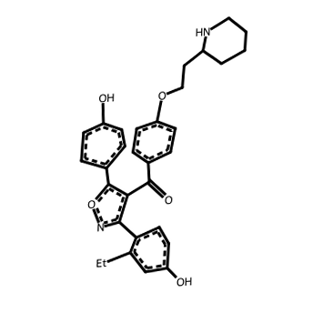 CCc1cc(O)ccc1-c1noc(-c2ccc(O)cc2)c1C(=O)c1ccc(OCCC2CCCCN2)cc1